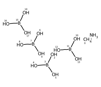 C.N.OB(O)O.OB(O)O.OB(O)O.OB(O)O